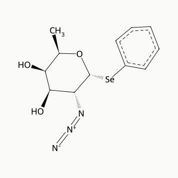 C[C@H]1O[C@H]([Se]c2ccccc2)[C@H](N=[N+]=[N-])[C@@H](O)[C@H]1O